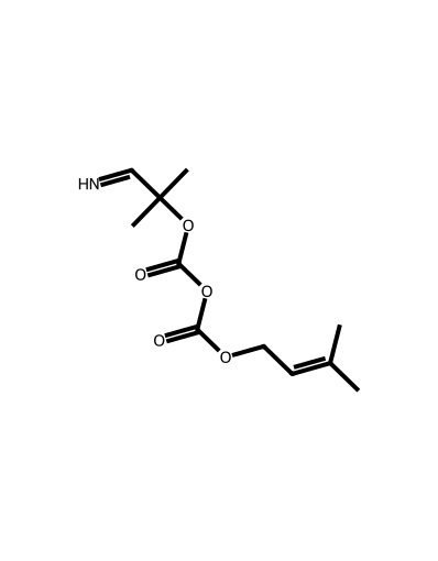 CC(C)=CCOC(=O)OC(=O)OC(C)(C)C=N